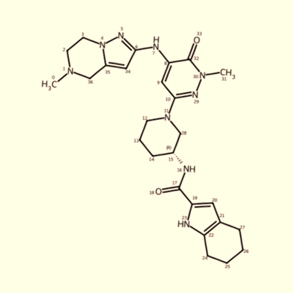 CN1CCn2nc(Nc3cc(N4CCC[C@@H](NC(=O)c5cc6c([nH]5)CCCC6)C4)nn(C)c3=O)cc2C1